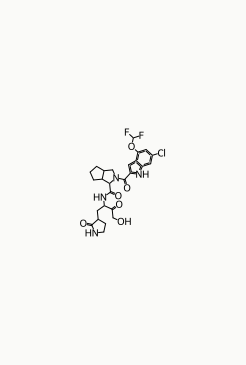 O=C1NCCC1CC(NC(=O)C1C2CCCC2CN1C(=O)c1cc2c(OC(F)F)cc(Cl)cc2[nH]1)C(=O)CO